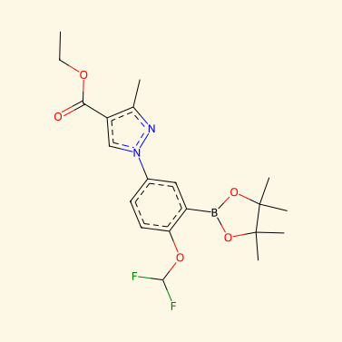 CCOC(=O)c1cn(-c2ccc(OC(F)F)c(B3OC(C)(C)C(C)(C)O3)c2)nc1C